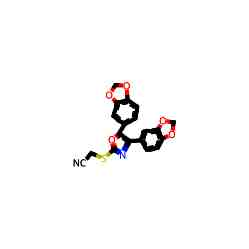 N#CCSc1nc(-c2ccc3c(c2)OCO3)c(-c2ccc3c(c2)OCO3)o1